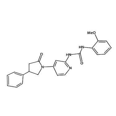 COc1ccccc1NC(=O)Nc1cc(N2CC(c3ccccc3)CC2=O)ccn1